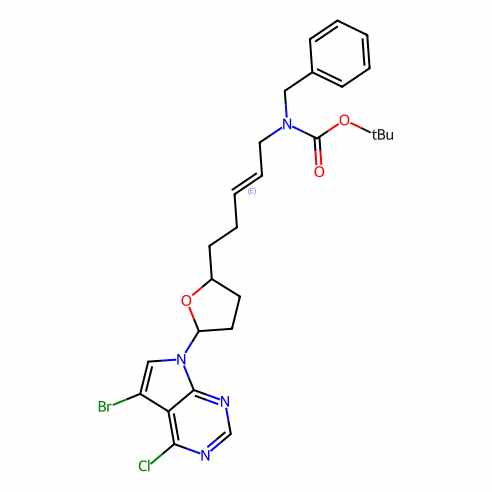 CC(C)(C)OC(=O)N(C/C=C/CCC1CCC(n2cc(Br)c3c(Cl)ncnc32)O1)Cc1ccccc1